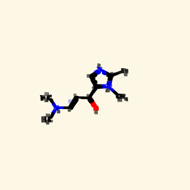 CCc1ncc(C(=O)/C=C/N(C)C)n1C